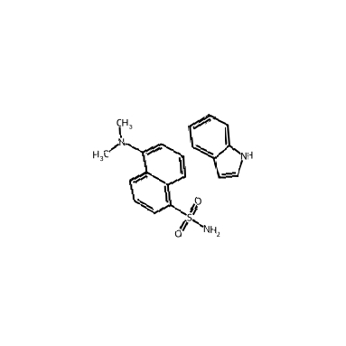 CN(C)c1cccc2c(S(N)(=O)=O)cccc12.c1ccc2[nH]ccc2c1